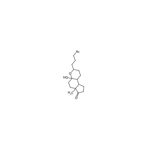 CC(=O)CCCC1CCC2C3CCC(=O)C3(C)CCC2(O)O1